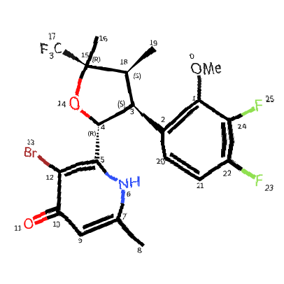 COc1c([C@H]2[C@H](c3[nH]c(C)cc(=O)c3Br)O[C@@](C)(C(F)(F)F)[C@H]2C)ccc(F)c1F